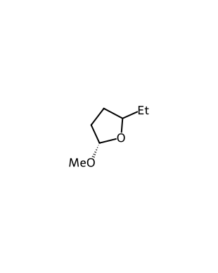 CCC1CC[C@@H](OC)O1